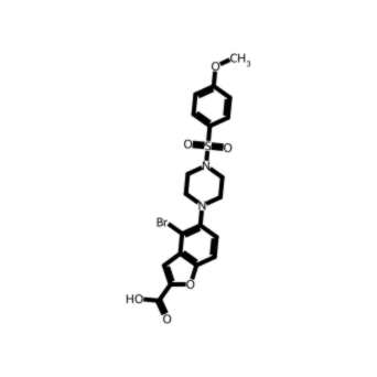 COc1ccc(S(=O)(=O)N2CCN(c3ccc4oc(C(=O)O)cc4c3Br)CC2)cc1